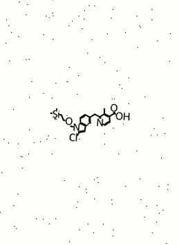 Cc1c(C(=O)O)ccnc1Cc1ccc2c(c1)cc(Cl)n2COCC[Si](C)(C)C